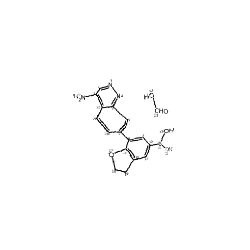 Nc1cnnc2cc(-c3cc(B(O)O)cc4c3OCC4)ccc12.O=CO